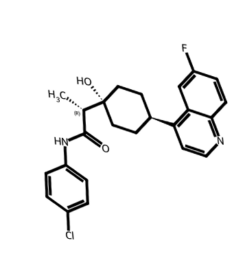 C[C@@H](C(=O)Nc1ccc(Cl)cc1)[C@]1(O)CC[C@H](c2ccnc3ccc(F)cc32)CC1